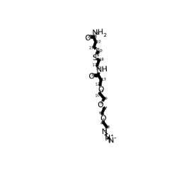 [N-]=[N+]=NCCOCCOCCOCCC(=O)NCCSSCCC(N)=O